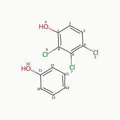 Oc1ccc(Cl)c(Cl)c1Cl.Oc1ccccc1